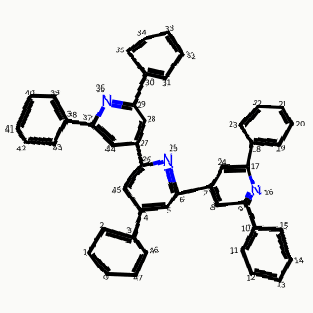 c1ccc(-c2cc(-c3cc(-c4ccccc4)nc(-c4ccccc4)c3)nc(-c3cc(-c4ccccc4)nc(-c4ccccc4)c3)c2)cc1